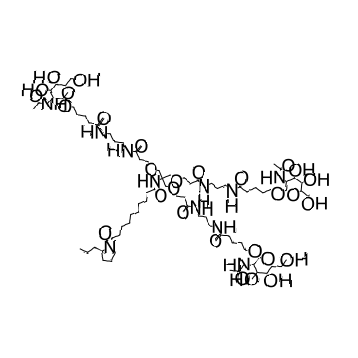 CCC[C@@H]1CCCN1C(=O)CCCCCCCCC(=O)NC(COCCC(=O)NCCCNC(=O)CCCCOC1OC(CO)C(O)C(O)C1NC(C)=O)(COCCC(=O)NCCCNC(=O)CCCCOC1OC(CO)C(O)C(O)C1NC(C)=O)COCCC(=O)NCCCNC(=O)CCCCOC1OC(CO)C(O)C(O)C1NC(C)=O